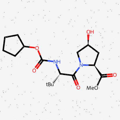 COC(=O)[C@@H]1C[C@H](O)CN1C(=O)[C@@H](NC(=O)OC1CCCC1)C(C)(C)C